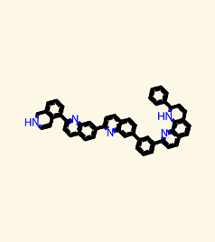 C1=Cc2c(cccc2-c2ccc3ccc(-c4ccc5ccc(-c6cccc(-c7ccc8ccc9c(c8n7)NC(c7ccccc7)C=C9)c6)cc5n4)cc3n2)CN1